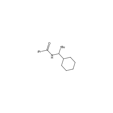 CC(C)C(=O)NC(C1CCCCC1)C(C)(C)C